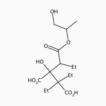 CCC(C(=O)OC(C)CO)C(O)(C(=O)O)C(CC)(CC)C(=O)O